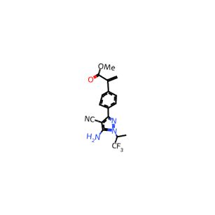 C=C(C(=O)OC)c1ccc(-c2nn(C(C)C(F)(F)F)c(N)c2C#N)cc1